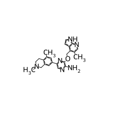 Cc1cc(-c2cnc(N)c(OCc3c(C)cnc4[nH]ccc34)n2)cc2c1CCN(C)C2